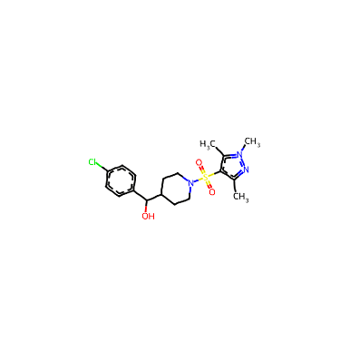 Cc1nn(C)c(C)c1S(=O)(=O)N1CCC(C(O)c2ccc(Cl)cc2)CC1